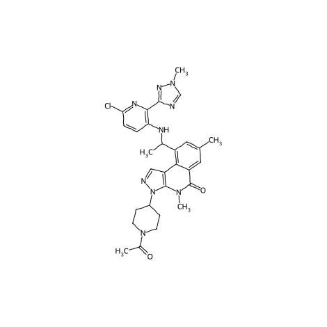 CC(=O)N1CCC(n2ncc3c4c(C(C)Nc5ccc(Cl)nc5-c5ncn(C)n5)cc(C)cc4c(=O)n(C)c32)CC1